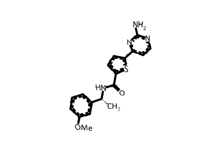 COc1cccc([C@@H](C)NC(=O)c2ccc(-c3ccnc(N)n3)s2)c1